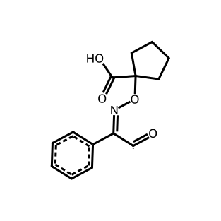 O=[C]C(=NOC1(C(=O)O)CCCC1)c1ccccc1